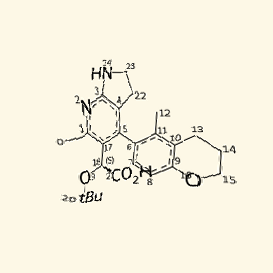 Cc1nc2c(c(-c3ccc4c(c3C)CCCO4)c1[C@H](OC(C)(C)C)C(=O)O)CCN2